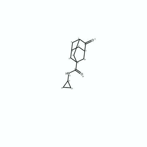 O=C1C2CC3CC1CC(C(=O)NC1CC1)(C3)C2